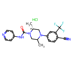 CC1CN(C(=O)Nc2ccncc2)[C@H](C)CN1c1ccc(C#N)c(C(F)(F)F)c1.Cl